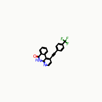 O=c1[nH]c2nccc(C#Cc3ccc(C(F)(F)F)cc3)c2c2ccccc12